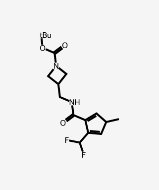 CC1C=C(C(=O)NCC2CN(C(=O)OC(C)(C)C)C2)C(C(F)F)=C1